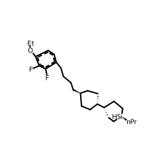 CCC[Si@H]1CC[C@H]([C@H]2CC[C@H](CCCCc3ccc(OCC)c(F)c3F)CC2)CC1